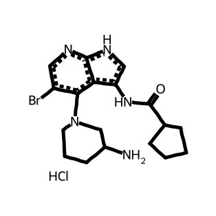 Cl.NC1CCCN(c2c(Br)cnc3[nH]cc(NC(=O)C4CCCC4)c23)C1